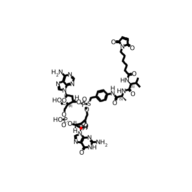 CC(C)[C@H](NC(=O)CCCCCN1C(=O)C=CC1=O)C(=O)N[C@@H](C)C(=O)Nc1ccc(CSP2(=O)OCC3O[C@@H](n4cnc5c(=O)[nH]c(N)nc54)[C@H](OP(=O)(O)OC[C@@]4(CO)O[C@@H](n5cnc6c(N)ncnc65)C[C@@H]4O2)[C@@H]3O)cc1